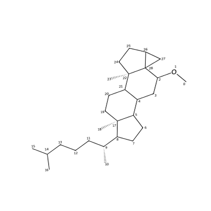 COC1CC2C3CCC([C@H](C)CCCC(C)C)[C@@]3(C)CCC2[C@@]2(C)CCC3CC312